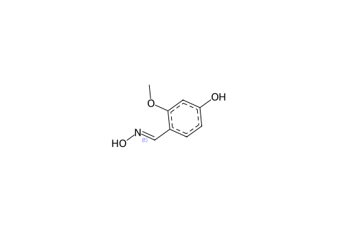 COc1cc(O)ccc1/C=N/O